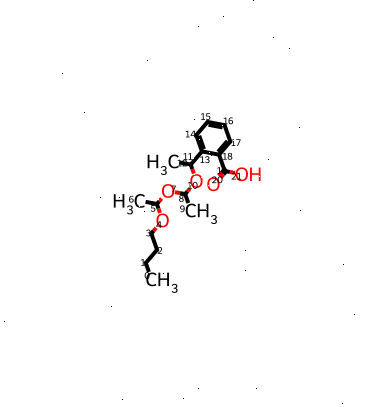 CCCCOC(C)OC(C)OC(C)c1ccccc1C(=O)O